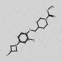 CC(C)(C)OC(=O)N1CCC(COc2ccc(N3CC(F)C3)cc2Cl)CC1